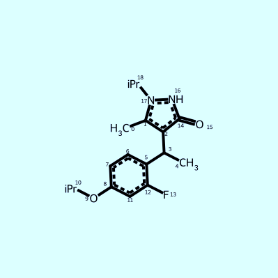 Cc1c(C(C)c2ccc(OC(C)C)cc2F)c(=O)[nH]n1C(C)C